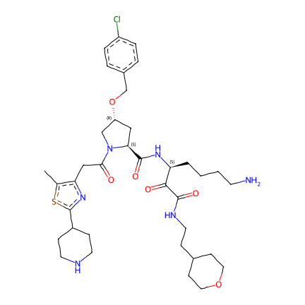 Cc1sc(C2CCNCC2)nc1CC(=O)N1C[C@H](OCc2ccc(Cl)cc2)C[C@H]1C(=O)N[C@@H](CCCCN)C(=O)C(=O)NCCC1CCOCC1